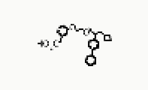 O=C(O)Cc1cccc(OCCON=C(CC2CCC2)c2ccc(-c3ccccc3)cc2)c1